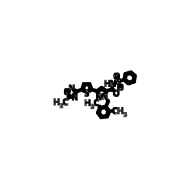 Cc1nc(-c2ccc(-c3cc(C(=O)NS(=O)(=O)c4ccccc4)n(Cc4c(C)cccc4C)n3)s2)no1